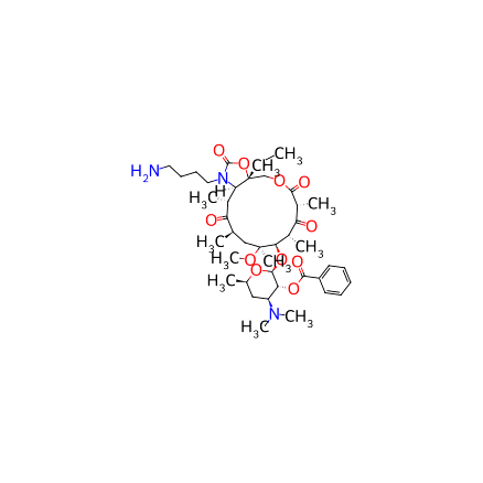 CC[C@@H]1OC(=O)[C@H](C)C(=O)[C@H](C)[C@@H](O[C@@H]2O[C@H](C)C[C@H](N(C)C)[C@H]2OC(=O)c2ccccc2)[C@@](C)(OC)C[C@@H](C)C(=O)[C@H](C)[C@H]2N(CCCCN)C(=O)O[C@]12C